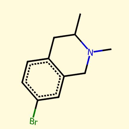 CC1Cc2ccc(Br)cc2CN1C